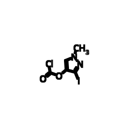 Cn1cc(OC(=O)Cl)c(I)n1